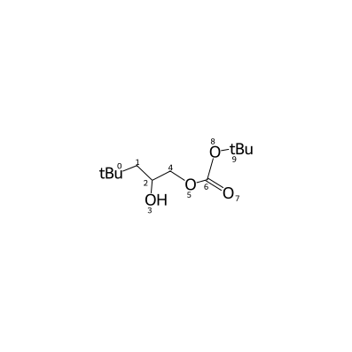 CC(C)(C)CC(O)COC(=O)OC(C)(C)C